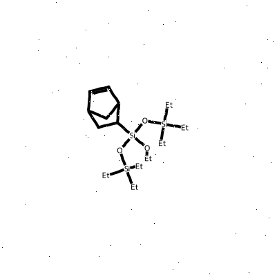 CCO[Si](O[Si](CC)(CC)CC)(O[Si](CC)(CC)CC)C1CC2C=CC1C2